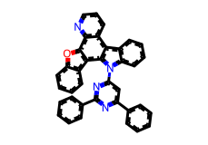 c1ccc(-c2cc(-n3c4ccccc4c4c5cccnc5c5oc6ccccc6c5c43)nc(-c3ccccc3)n2)cc1